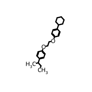 CCC(C)c1ccc(OCCOc2ccc(C3CCCCC3)cc2)cc1